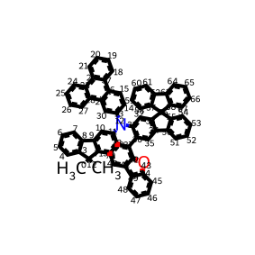 CC1(C)c2ccccc2-c2cc(N(c3ccc4c5ccccc5c5ccccc5c4c3)c3cc4c(cc3-c3cccc5c3oc3ccccc35)-c3ccccc3C43c4ccccc4-c4ccccc43)ccc21